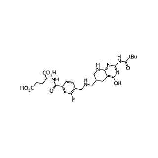 CC(C)(C)C(=O)Nc1nc(O)c2c(n1)NCC(CNCc1ccc(C(=O)N[C@@H](CCC(=O)O)C(=O)O)cc1F)C2